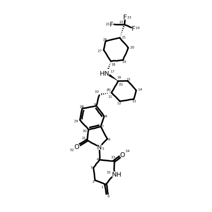 C=C1CCC(N2Cc3cc(C[C@H]4CCCC[C@@H]4N[C@H]4CC[C@@H](C(F)(F)F)CC4)ccc3C2=O)C(=O)N1